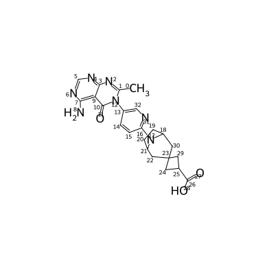 Cc1nc2ncnc(N)c2c(=O)n1-c1ccc(N2C3CCC2CC2(CC(C(=O)O)C2)C3)nc1